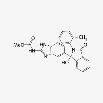 COC(=O)Nc1nc2cc(C3(O)c4ccccc4C(=O)N3c3ccccc3C)ccc2[nH]1